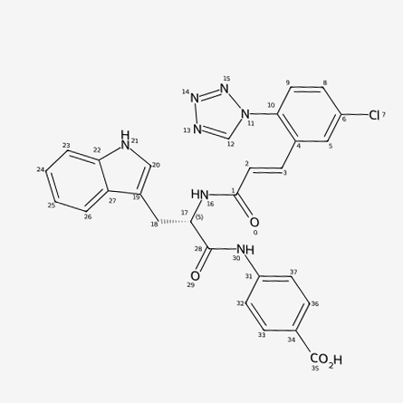 O=C(C=Cc1cc(Cl)ccc1-n1cnnn1)N[C@@H](Cc1c[nH]c2ccccc12)C(=O)Nc1ccc(C(=O)O)cc1